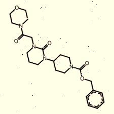 O=C(CN1CCCN(C2CCN(C(=O)OCc3ccccc3)CC2)C1=O)N1CCOCC1